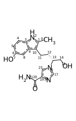 Cc1[nH]c2ccc(O)cc2c1CC[C@H](CO)n1cnc(C(N)=O)c1